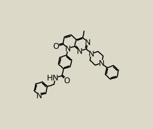 Cc1nc(N2CCN(c3ccccc3)CC2)nc2c1ccc(=O)n2-c1ccc(C(=O)NCc2cccnc2)cc1